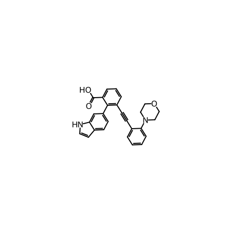 O=C(O)c1cccc(C#Cc2ccccc2N2CCOCC2)c1-c1ccc2cc[nH]c2c1